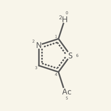 [2H]c1ncc(C(C)=O)s1